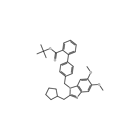 COc1cc2nc(CC3CCCC3)n(Cc3ccc(-c4ccccc4C(=O)OC(C)(C)C)cc3)c2cc1OC